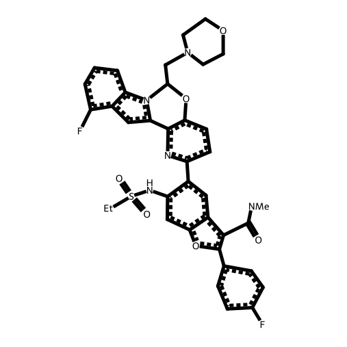 CCS(=O)(=O)Nc1cc2oc(-c3ccc(F)cc3)c(C(=O)NC)c2cc1-c1ccc2c(n1)-c1cc3c(F)cccc3n1C(CN1CCOCC1)O2